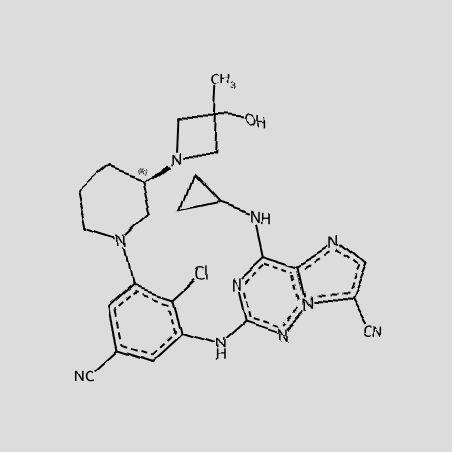 CC1(O)CN([C@@H]2CCCN(c3cc(C#N)cc(Nc4nc(NC5CC5)c5ncc(C#N)n5n4)c3Cl)C2)C1